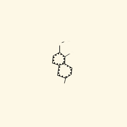 COc1ccc2cc(Cl)ccc2c1Br